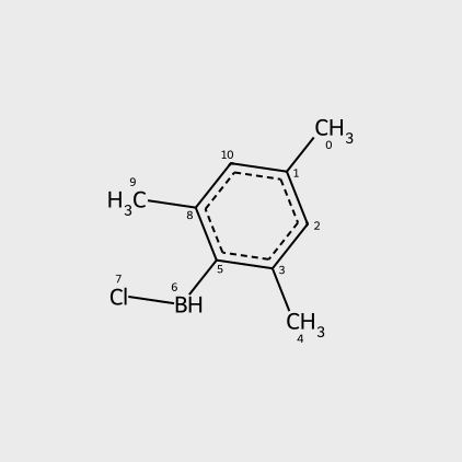 Cc1cc(C)c(BCl)c(C)c1